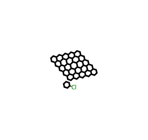 Clc1ccccc1.c1cc2cc3cc4cc5ccc6cc7cc8cc9cccc%10cc%11cc%12cc%13ccc%14cc%15cc%16cc(c1)c2c1c3c2c4c3c5c6c4c7c5c8c(c9%10)c%11c6c%12c7c%13c%14c8c%15c(c%161)c2c1c3c4c(c56)c7c81